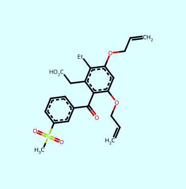 C=CCOc1cc(OCC=C)c(C(=O)c2cccc(S(C)(=O)=O)c2)c(CC(=O)O)c1CC